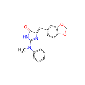 CN(C1=N/C(=C\c2ccc3c(c2)OCO3)C(=O)N1)c1ccccc1